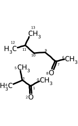 CC(=O)C(C)C.CC(=O)CCC(C)C